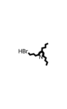 Br.CCCCc1cc(CCCC)nc(CCCC)c1